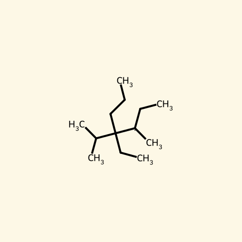 CCCC(CC)([C](C)CC)C(C)C